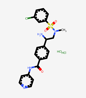 CN(CC(N)c1ccc(C(=O)Nc2ccncc2)cc1)S(=O)(=O)c1cccc(Cl)c1.Cl.Cl